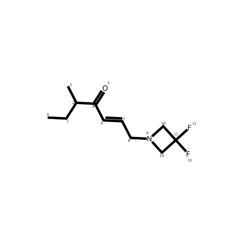 CCC(C)C(=O)/C=C/CN1CC(F)(F)C1